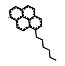 CCCCCCc1ccc2ccc3cc[c]c4ccc1c2c43